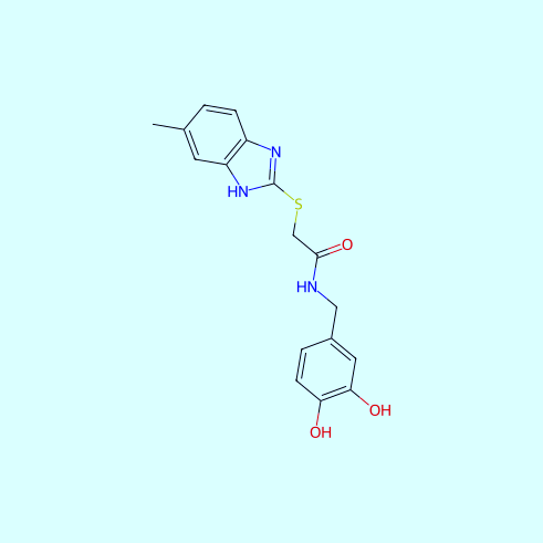 Cc1ccc2nc(SCC(=O)NCc3ccc(O)c(O)c3)[nH]c2c1